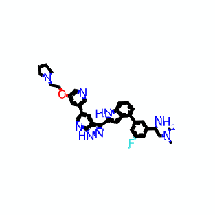 CN(C)CC(N)c1cc(F)cc(-c2cccc3[nH]c(-c4n[nH]c5ncc(-c6cncc(OCCN7CCCC7)c6)cc45)cc23)c1